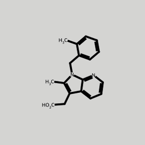 Cc1ccccc1Cn1c(C)c(CC(=O)O)c2cccnc21